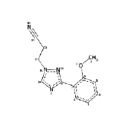 COc1ccccc1-c1ncn(CCC#N)n1